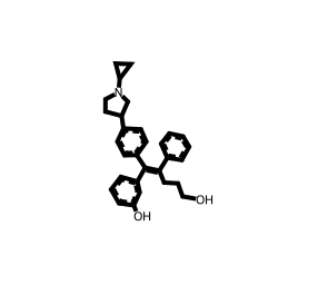 OCCC/C(=C(/c1ccc(C2CCN(C3CC3)C2)cc1)c1cccc(O)c1)c1ccccc1